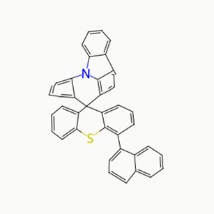 c1ccc2c(c1)Sc1c(-c3cccc4ccccc34)cccc1C21c2ccccc2-n2c3ccccc3c3cccc1c32